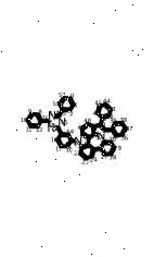 c1ccc(-c2nc(-c3ccccc3)nc(-c3cccc(-n4c5cccc6c7ccccc7n7c(-c8ccccc8)c(-c8ccccc8)c8ccc4c(c65)c87)c3)n2)cc1